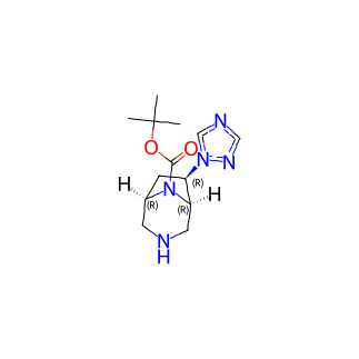 CC(C)(C)OC(=O)N1[C@H]2CNC[C@@H]1[C@H](n1cncn1)C2